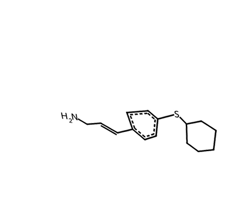 NCC=Cc1ccc(SC2CCCCC2)cc1